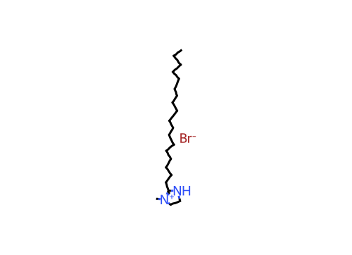 CCCCCCCCCCCCCCCCCCC1=[N+](C)CCN1.[Br-]